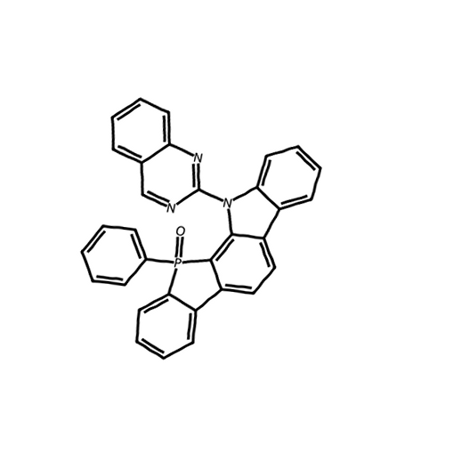 O=P1(c2ccccc2)c2ccccc2-c2ccc3c4ccccc4n(-c4ncc5ccccc5n4)c3c21